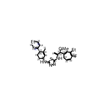 C=C(Nc1nnc(N[C@@H]2C=C(C)[C@H](C(/C=C\CC)=N/C)CC2)s1)[C@@H](OC)C1=CC(CC)=C(F)C=CC1